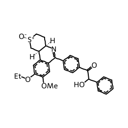 CCOc1cc2c(cc1OC)C(c1ccc(C(=O)C(O)c3ccccc3)cc1)=N[C@@H]1CC[S@@+]([O-])C[C@H]21